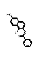 O=C(Oc1ccc2cc(O)ccc2c1Cl)c1ccccc1